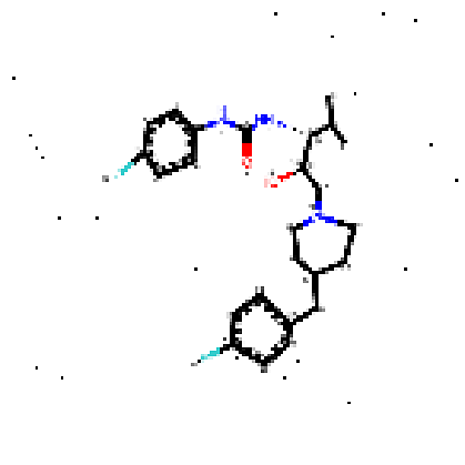 CC(C)[C@@H](NC(=O)Nc1ccc(F)cc1)[C@H](O)CN1CCC(Cc2ccc(F)cc2)CC1